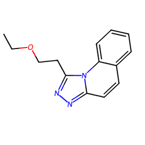 CCOCCc1nnc2ccc3ccccc3n12